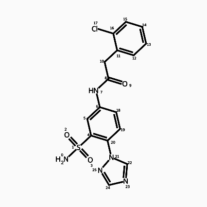 NS(=O)(=O)c1cc(NC(=O)Cc2ccccc2Cl)ccc1-n1cncn1